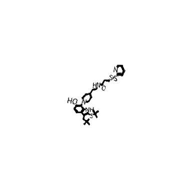 CC(C)(C)Cc1c(SC(C)(C)C)[nH]c2c(N3CCC(CCNC(=O)CCSSc4ccccn4)CC3)c(O)ccc12